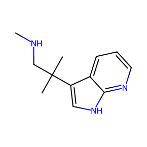 CNCC(C)(C)c1c[nH]c2ncccc12